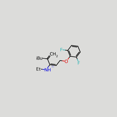 C=C(/C(=C\COc1c(F)cccc1F)NCC)C(C)CC